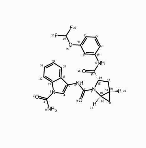 NC(=O)n1cc(NC(=O)N2[C@@H]3C[C@@H]3C[C@H]2C(=O)Nc2cccc(OC(F)F)c2)c2ccccc21